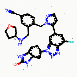 N#Cc1ccc(Cn2nccc2-c2cc(F)c3nnn(-c4ccc5[nH]c(=O)[nH]c5c4)c3c2)c(CN[C@H]2CCOC2)c1